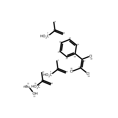 C=C(C)C(=O)O.C=C(C)C(=O)O.C=C(C)C(=O)O.CCCCO.ClC(Cl)=C(Cl)c1ccccc1